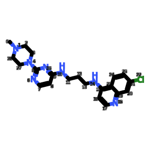 CN1CCN(c2nccc(NCCCNc3ccnc4cc(Cl)ccc34)n2)CC1